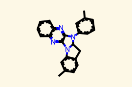 Cc1cccc(N2c3nc4ccccc4nc3N3c4cc(C)ccc4CC23)c1